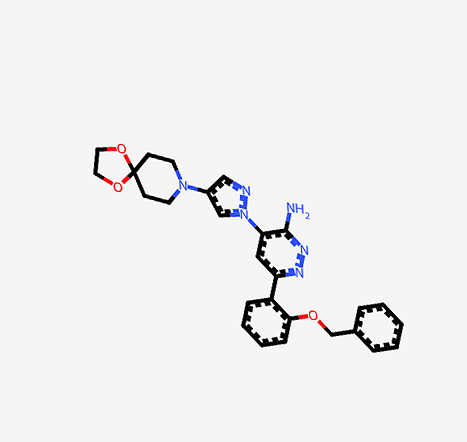 Nc1nnc(-c2ccccc2OCc2ccccc2)cc1-n1cc(N2CCC3(CC2)OCCO3)cn1